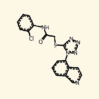 O=C(CSc1nnnn1-c1cccc2cnccc12)Nc1ccccc1Cl